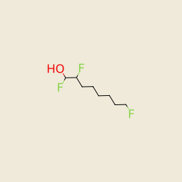 OC(F)C(F)CCCCCCF